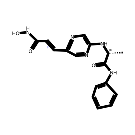 C[C@@H](Nc1cnc(/C=C/C(=O)NO)cn1)C(=O)Nc1ccccc1